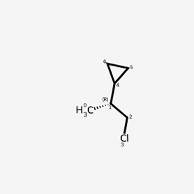 C[C@@H](CCl)C1CC1